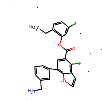 NCc1cccc(-c2cc(C(=O)Oc3cc(F)ccc3CC(=O)O)c(F)c3ccoc23)c1